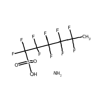 CC(F)(F)C(F)(F)C(F)(F)C(F)(F)C(F)(F)S(=O)(=O)O.N